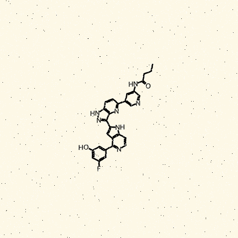 CCCC(=O)Nc1cncc(-c2ccc3[nH]nc(-c4cc5c(-c6cc(O)cc(F)c6)nccc5[nH]4)c3n2)c1